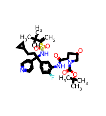 C=C(C(C)(C)C)S(=O)(=O)NC(CCC1CC1)(c1ccncc1)c1ccc(F)c(NC(=O)C2CC(=O)CN2C(=O)OC(C)(C)C)c1